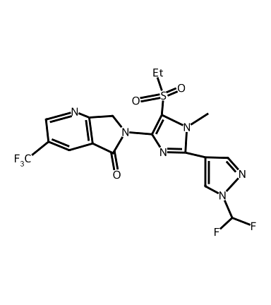 CCS(=O)(=O)c1c(N2Cc3ncc(C(F)(F)F)cc3C2=O)nc(-c2cnn(C(F)F)c2)n1C